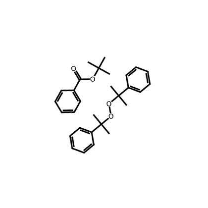 CC(C)(C)OC(=O)c1ccccc1.CC(C)(OOC(C)(C)c1ccccc1)c1ccccc1